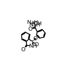 O=C(O)c1ccccc1.O=C1NS(=O)(=O)c2ccccc21.[NaH].[NaH]